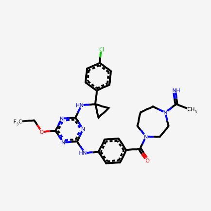 CC(=N)N1CCCN(C(=O)c2ccc(Nc3nc(NC4(c5ccc(Cl)cc5)CC4)nc(OCC(F)(F)F)n3)cc2)CC1